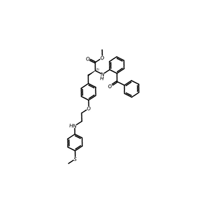 COC(=O)[C@H](Cc1ccc(OCCNc2ccc(SC)cc2)cc1)Nc1ccccc1C(=O)c1ccccc1